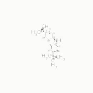 CN(C)C1CCC(Nc2ccc(C(C)(C)C)cc2)CC1